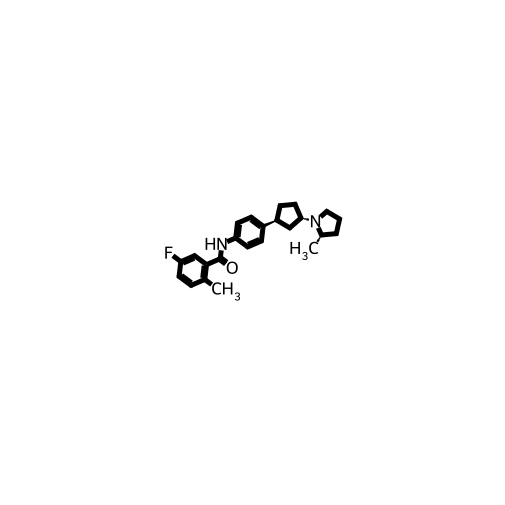 Cc1ccc(F)cc1C(=O)Nc1ccc([C@H]2CC[C@H](N3CCC[C@@H]3C)C2)cc1